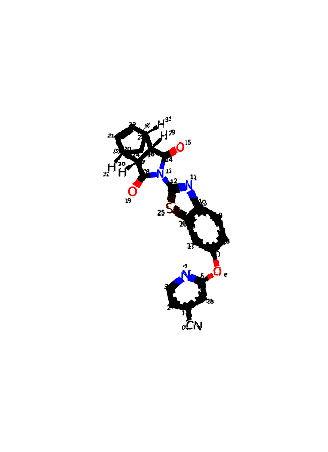 N#Cc1ccnc(Oc2ccc3nc(N4C(=O)[C@@H]5[C@H](C4=O)[C@@H]4C=C[C@H]5C4)sc3c2)c1